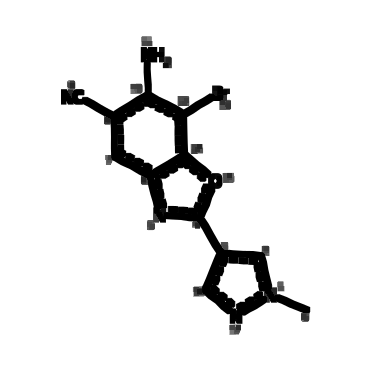 Cn1cc(-c2nc3cc(C#N)c(N)c(Br)c3o2)cn1